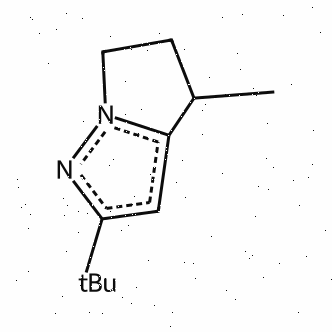 CC1CCn2nc(C(C)(C)C)cc21